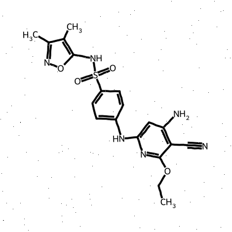 CCOc1nc(Nc2ccc(S(=O)(=O)Nc3onc(C)c3C)cc2)cc(N)c1C#N